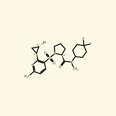 CC[C@H]1C[C@@H]1c1nc(C)ccc1S(=O)(=O)N1CCC[C@H]1C(=O)N(C)C1CCC(F)(F)CC1